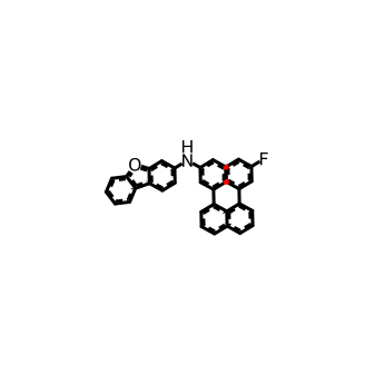 Fc1cccc(-c2cccc3cccc(-c4cccc(Nc5ccc6c(c5)oc5ccccc56)c4)c23)c1